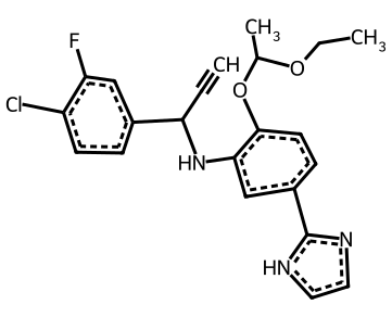 C#CC(Nc1cc(-c2ncc[nH]2)ccc1OC(C)OCC)c1ccc(Cl)c(F)c1